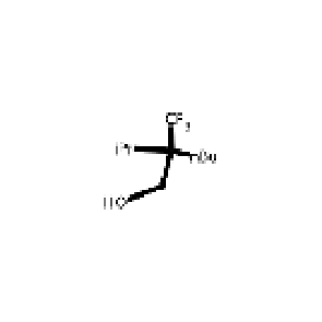 CCCCC(CO)(C(C)C)C(F)(F)F